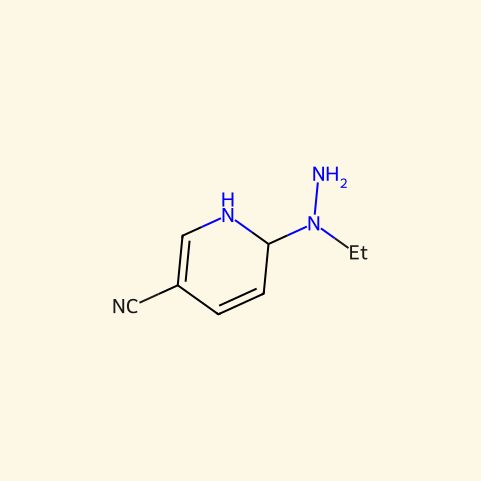 CCN(N)C1C=CC(C#N)=CN1